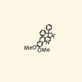 COc1cc2ccc3c4c(cnc3c2cc1OC)C(C)(C)CC4(c1ccccc1)c1ccccc1